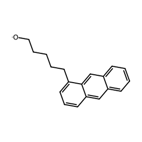 [O]CCCCCc1cccc2cc3ccccc3cc12